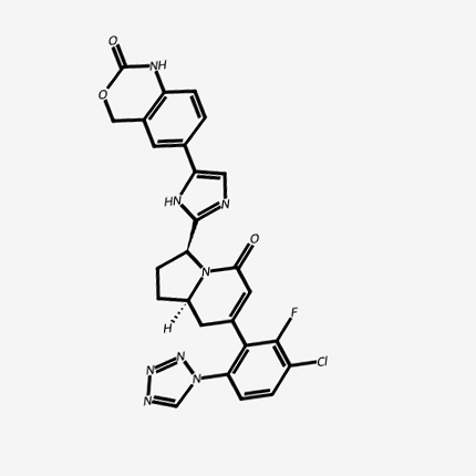 O=C1Nc2ccc(-c3cnc([C@@H]4CC[C@@H]5CC(c6c(-n7cnnn7)ccc(Cl)c6F)=CC(=O)N54)[nH]3)cc2CO1